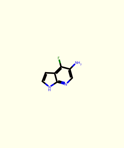 Nc1cnc2[nH]ccc2c1F